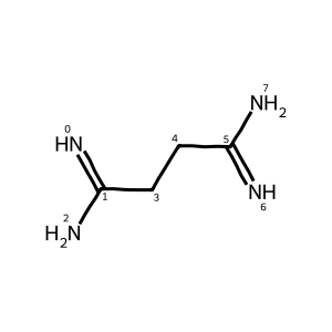 N=C(N)CCC(=N)N